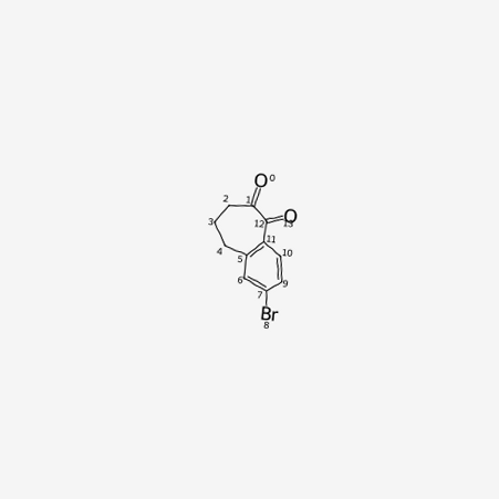 O=C1CCCc2cc(Br)ccc2C1=O